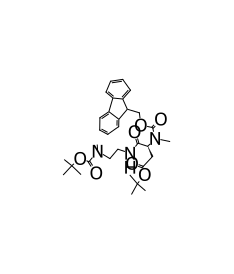 CN(CCNC(=O)[C@H](CC(=O)OC(C)(C)C)N(C)C(=O)OCC1c2ccccc2-c2ccccc21)C(=O)OC(C)(C)C